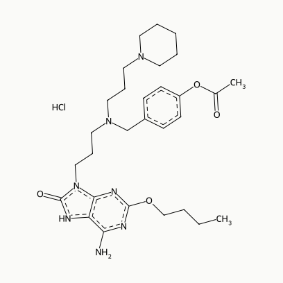 CCCCOc1nc(N)c2[nH]c(=O)n(CCCN(CCCN3CCCCC3)Cc3ccc(OC(C)=O)cc3)c2n1.Cl